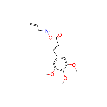 C=CC[N]OC(=O)C=Cc1cc(OC)c(OC)c(OC)c1